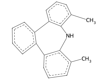 Cc1cccc2c1Nc1c(C)cccc1-c1ccccc1-2